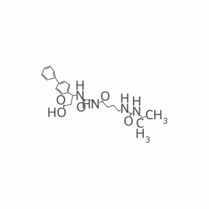 CC(C)NC(=O)NCCCC(=O)NCC(=O)NC(CC(=O)O)c1ccc(-c2ccccc2)cc1